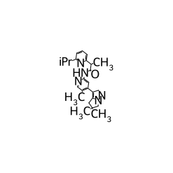 Cc1cnc(NC(=O)[C@H](C)c2cccc(C(C)C)n2)cc1-c1cnn2c1CC(C)(C)C2